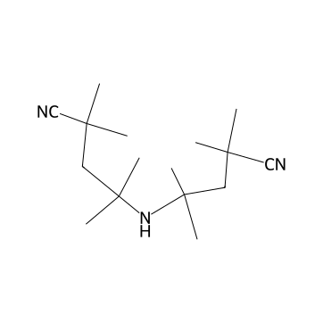 CC(C)(C#N)CC(C)(C)NC(C)(C)CC(C)(C)C#N